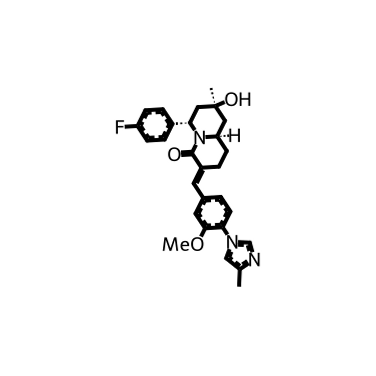 COc1cc(/C=C2\CC[C@@H]3C[C@](C)(O)C[C@@H](c4ccc(F)cc4)N3C2=O)ccc1-n1cnc(C)c1